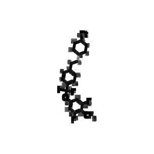 CC[C@H]1CC[C@H](CCc2ccc(C(F)(F)Oc3cc(F)c(C(F)(F)F)c(F)c3)cc2)CC1